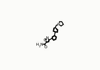 NC(=O)c1cc(-c2cccc(-c3ccc(CN4CCCC4)cc3)c2)no1